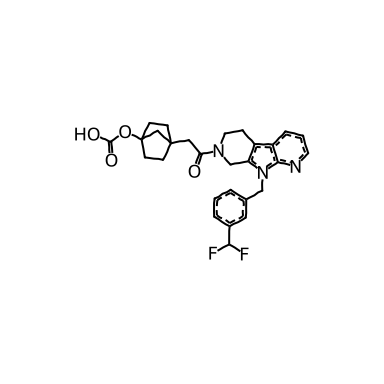 O=C(O)OC12CCC(CC(=O)N3CCc4c(n(Cc5cccc(C(F)F)c5)c5ncccc45)C3)(CC1)C2